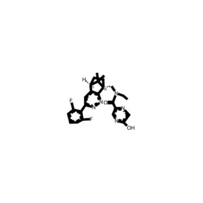 CCN(C[C@]12CC[C@H](c3cc(-c4c(F)cccc4F)nnc31)C2(C)C)C(=O)c1cnc(O)cn1